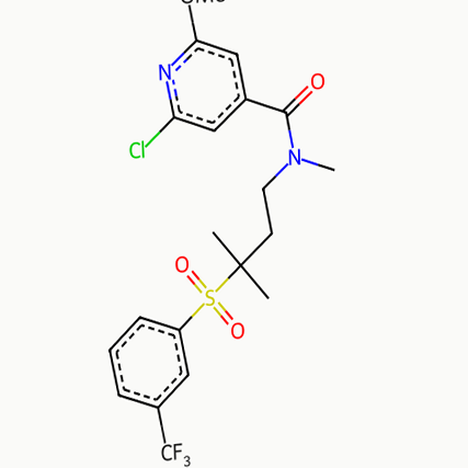 COc1cc(C(=O)N(C)CCC(C)(C)S(=O)(=O)c2cccc(C(F)(F)F)c2)cc(Cl)n1